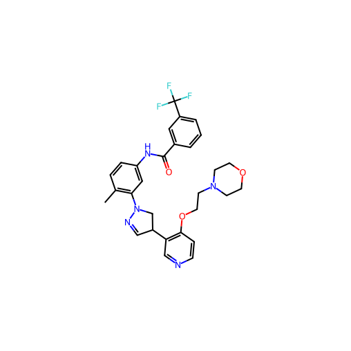 Cc1ccc(NC(=O)c2cccc(C(F)(F)F)c2)cc1N1CC(c2cnccc2OCCN2CCOCC2)C=N1